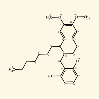 CCCCCCCC1c2cc(OC)c(OC)cc2CCN1Cc1c(F)cccc1Cl